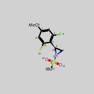 COc1cc(F)c([C@H]2CN2S(=O)(=O)C(C)(C)C)c(F)c1